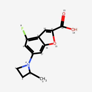 CC1CCN1c1cc(F)c2cc(C(=O)O)oc2c1